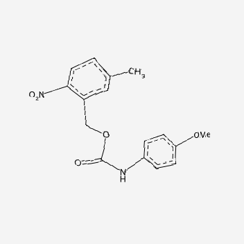 COc1ccc(NC(=O)OCc2cc(C)ccc2[N+](=O)[O-])cc1